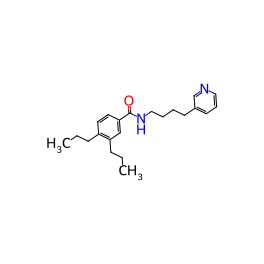 CCCc1ccc(C(=O)NCCCCc2cccnc2)cc1CCC